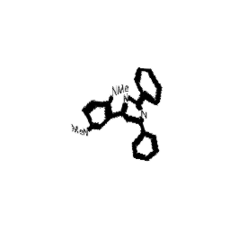 CNc1ccc(NC)c(-c2cc(-c3ccccc3)nc(-c3ccccc3)n2)c1